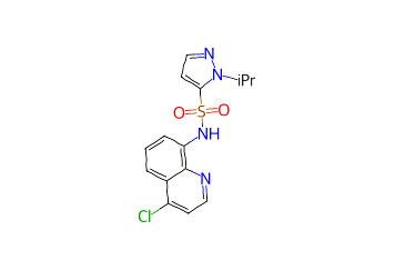 CC(C)n1nccc1S(=O)(=O)Nc1cccc2c(Cl)ccnc12